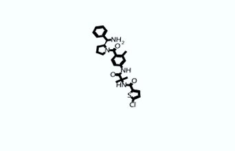 Cc1cc(NC(=O)C(C)(C)NC(=O)c2ccc(Cl)s2)ccc1C(=O)N1CCC[C@H]1C(N)c1ccccc1